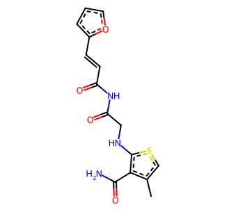 Cc1csc(NCC(=O)NC(=O)C=Cc2ccco2)c1C(N)=O